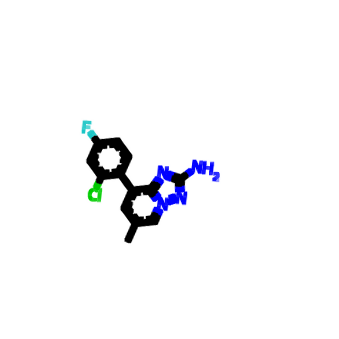 Cc1cc(-c2ccc(F)cc2Cl)c2nc(N)nn2c1